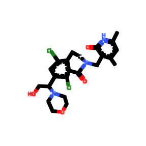 Cc1cc(C)c(CN2CCc3c(Cl)cc(C(CO)N4CCOCC4)c(Cl)c3C2=O)c(=O)[nH]1